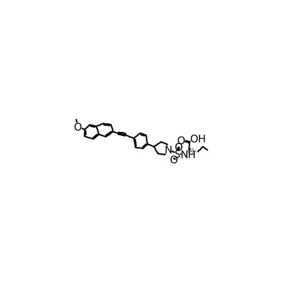 CCC[C@H](NS(=O)(=O)N1CCC(c2ccc(C#Cc3ccc4cc(OC)ccc4c3)cc2)CC1)C(=O)O